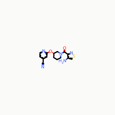 N#Cc1ccnc(O[C@@H]2CCCN(C(=O)c3nscc3N)C2)c1